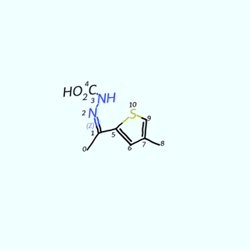 C/C(=N/NC(=O)O)c1cc(C)cs1